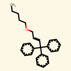 CCCCCOCC=CC(c1ccccc1)(c1ccccc1)c1ccccc1